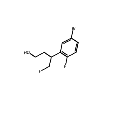 OCCC(CF)c1cc(Br)ccc1F